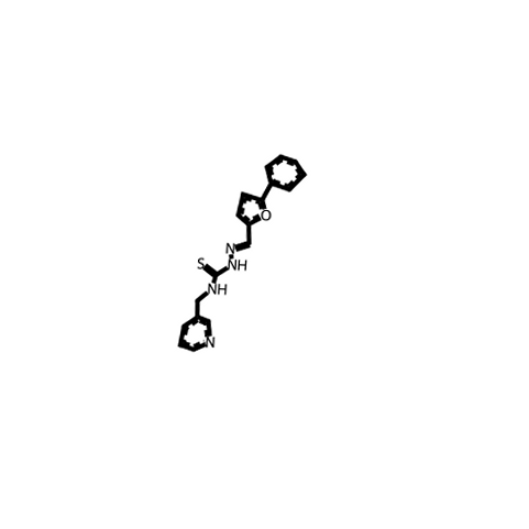 S=C(NCc1cccnc1)NN=Cc1ccc(-c2ccccc2)o1